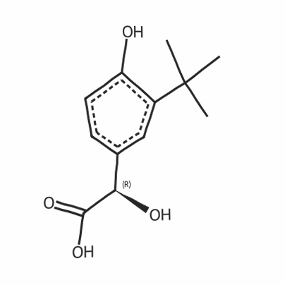 CC(C)(C)c1cc([C@@H](O)C(=O)O)ccc1O